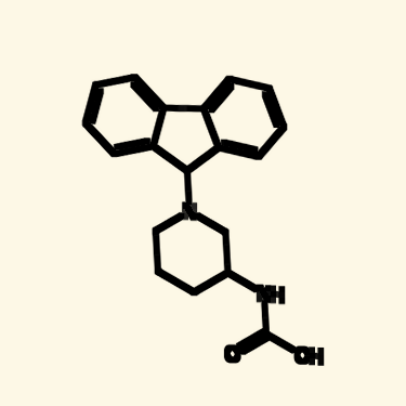 O=C(O)NC1CCCN(C2c3ccccc3-c3ccccc32)C1